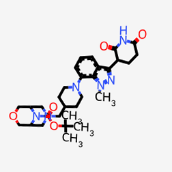 Cn1nc(C2CCC(=O)NC2=O)c2cccc(N3CCC(CN4CC5COCC(C4)N5C(=O)OC(C)(C)C)CC3)c21